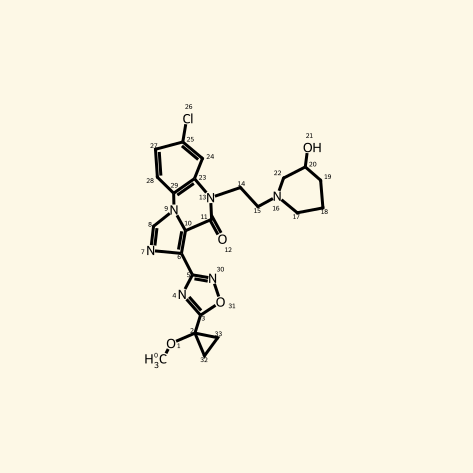 COC1(c2nc(-c3ncn4c3c(=O)n(CCN3CCCC(O)C3)c3cc(Cl)ccc34)no2)CC1